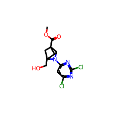 COC(=O)C12CN(c3cc(Cl)nc(Cl)n3)C(CO)(C1)C2